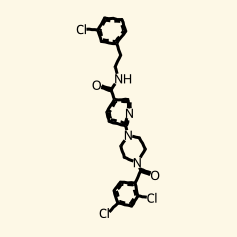 O=C(NCCc1cccc(Cl)c1)c1ccc(N2CCN(C(=O)c3ccc(Cl)cc3Cl)CC2)nc1